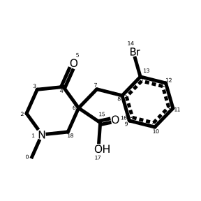 CN1CCC(=O)C(Cc2ccccc2Br)(C(=O)O)C1